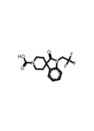 O=C(O)N1CCC2(CC1)C(=O)N(CC(F)(F)F)c1ccccc12